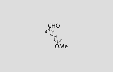 COC(C)CCCCC(C)C=O